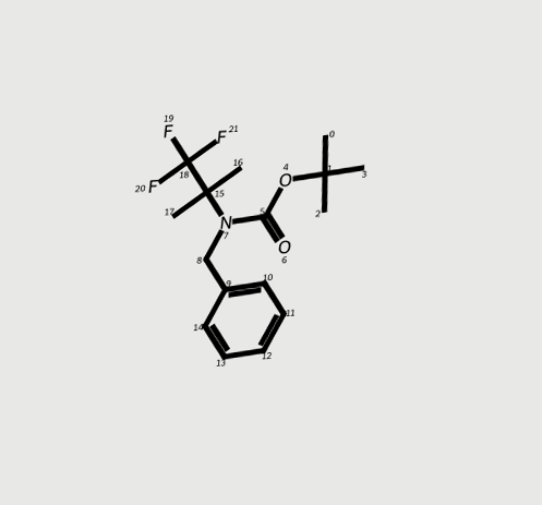 CC(C)(C)OC(=O)N(Cc1ccccc1)C(C)(C)C(F)(F)F